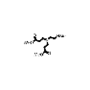 CNCCN(CCC(=O)OC)CCC(=O)OC